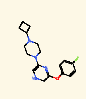 Fc1ccc(OC2=NC(N3CCN(C4CCC4)CC3)=[C]NC2)cc1